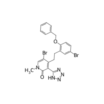 Cn1cc(Br)c(CCc2cc(Br)ccc2OCc2ccccc2)c(-c2nnn[nH]2)c1=O